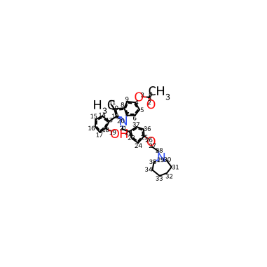 CC(=O)Oc1ccc2c(c1)c(C)c(-c1ccccc1O)n2Cc1ccc(OCCN2CCCCCC2)cc1